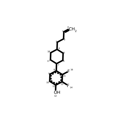 C=CCCC1CCC(c2ccc(O)c(F)c2F)CC1